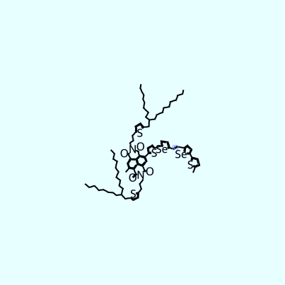 CCCCCCCCCCC(CCCCCCCC)Cc1ccc(CCCN2C(=O)c3cc(-c4ccc(-c5ccc(/C=C/c6ccc(-c7ccc(C)s7)[se]6)[se]5)s4)c4c5c(cc(C)c(c35)C2=O)C(=O)N(CCCc2ccc(CC(CCCCCCCC)CCCCCCCCCC)s2)C4=O)s1